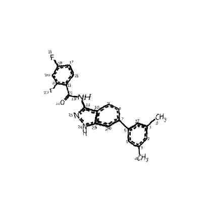 Cc1cc(C)cc(-c2ccc3c(NC(=O)c4ccc(F)cc4F)n[nH]c3c2)c1